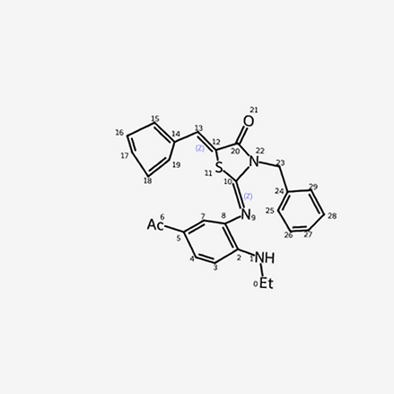 CCNc1ccc(C(C)=O)cc1/N=C1\S/C(=C\c2ccccc2)C(=O)N1Cc1ccccc1